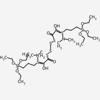 CCO[Si](CCCS(=C(O)C(=O)SSSSC(=O)C(O)=S(CCC[Si](OCC)(OCC)OCC)N(C)C)N(C)C)(OCC)OCC